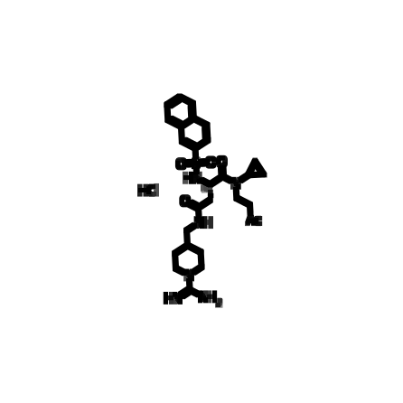 CC(=O)CCN(C(=O)[C@H](CC(=O)NCC1CCN(C(=N)N)CC1)NS(=O)(=O)c1ccc2ccccc2c1)C1CC1.Cl